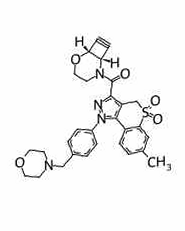 Cc1ccc2c(c1)S(=O)(=O)Cc1c(C(=O)N3CCO[C@@H]4C#C[C@@H]43)nn(-c3ccc(CN4CCOCC4)cc3)c1-2